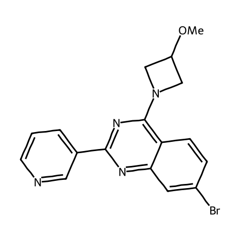 COC1CN(c2nc(-c3cccnc3)nc3cc(Br)ccc23)C1